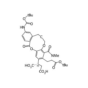 CNC(=O)c1c(CCC(=O)OC(C)(C)C)c([C@H](CC(=O)O)C(=O)O)cc2c1OCCCc1cc(NC(=O)OC(C)(C)C)ccc1C(=O)O2